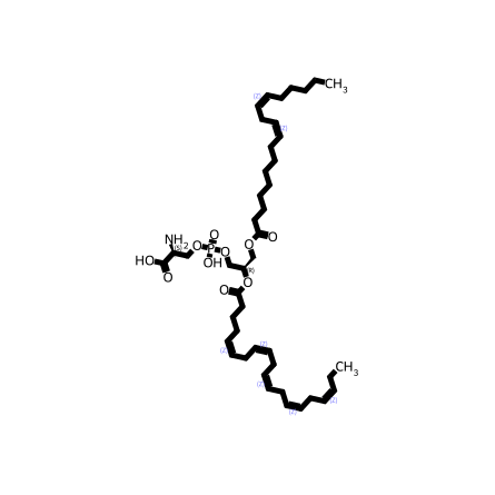 CC/C=C\C/C=C\C/C=C\C/C=C\C/C=C\CCCC(=O)O[C@H](COC(=O)CCCCCCC/C=C\C/C=C\CCCCC)COP(=O)(O)OC[C@H](N)C(=O)O